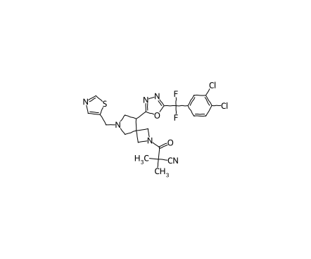 CC(C)(C#N)C(=O)N1CC2(CN(Cc3cncs3)CC2c2nnc(C(F)(F)c3ccc(Cl)c(Cl)c3)o2)C1